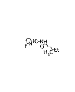 CC/C(C)=C/C=C/C(=O)NC1CN(c2cccc(F)n2)C1